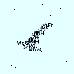 CCN1CCN(CCCNc2ncnc3c(C(=O)Nc4c(Cl)c(OC)c(Br)c(OC)c4Cl)csc23)CC1